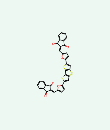 O=C1C(=Cc2ccc(-c3cc4sc5cc(-c6ccc(C=C7C(=O)c8ccccc8C7=O)o6)sc5c4s3)o2)C(=O)c2ccccc21